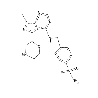 Cn1nc(C2CNCCO2)c2c(NCc3ccc(S(N)(=O)=O)cc3)ncnc21